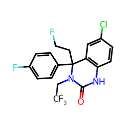 O=C1Nc2ccc(Cl)cc2C(CCF)(c2ccc(F)cc2)N1CC(F)(F)F